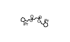 CC(C)C1CCCCC1CCOC(=O)CCC(=O)OCCC1CCCCC1C(C)C